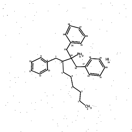 CCCCCCC(Cc1ccccc1)C(P)(Cc1ccccc1)Cc1ccccc1.I